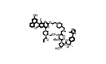 C=CC(=O)N1CCN(c2nc(OCCN3CCC(CN(C)CC(=O)N[C@H](C(=O)N4C[C@H](O)C[C@H]4C(=O)N[C@@H](C)c4ccc(-c5scnc5C)cc4)C(C)(C)C)CC3)nc3c(F)c(-c4cc(O)cc5ccccc45)c(Cl)cc23)C[C@@H]1CC#N